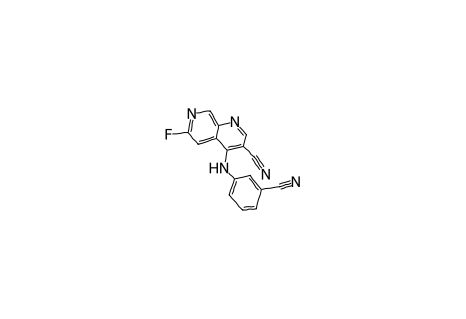 N#Cc1cccc(Nc2c(C#N)cnc3cnc(F)cc23)c1